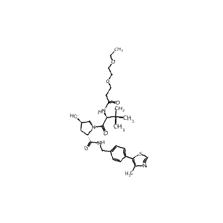 CCOCCOCCC(=O)N[C@H](C(=O)N1C[C@H](O)C[C@H]1C(=O)NCc1ccc(-c2scnc2C)cc1)C(C)(C)C